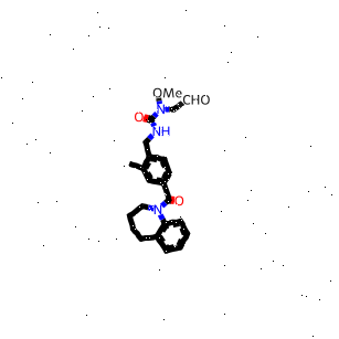 CON(CC=O)C(=O)NCc1ccc(C(=O)N2CCCCc3ccccc32)cc1C